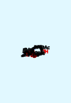 C/C=C/[C@H]1O[C@@](O)([C@@H](C)[C@H](O)[C@H](C)[C@H]2OC(=O)/C(OC)=C/C(C)=C/[C@@H](C)C(O)C[C@@H](OC(C)=O)[C@H](C)C/C(C)=C/C=C/[C@@H]2OC)C[C@@H](OC(C)=O)[C@@H]1C